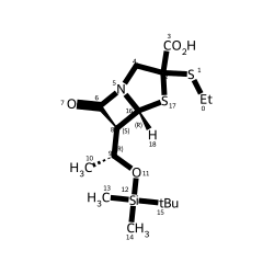 CCSC1(C(=O)O)CN2C(=O)[C@H]([C@@H](C)O[Si](C)(C)C(C)(C)C)[C@H]2S1